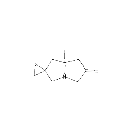 C=C1CN2CC3(CC3)CC2(C)C1